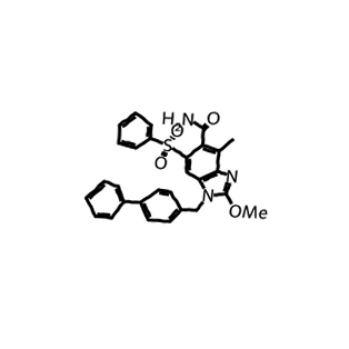 COc1nc2c(C)c(C(N)=O)c(S(=O)(=O)c3ccccc3)cc2n1Cc1ccc(-c2ccccc2)cc1